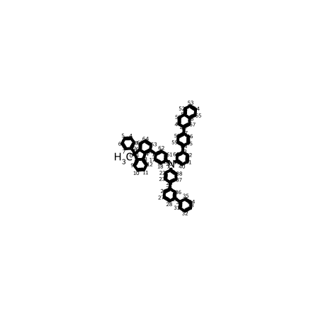 CC1(c2ccccc2)c2ccccc2-c2c(-c3ccc(N(c4ccc(-c5cccc(-c6ccccc6)c5)cc4)c4cccc(-c5ccc(-c6ccc7ccccc7c6)cc5)c4)cc3)cccc21